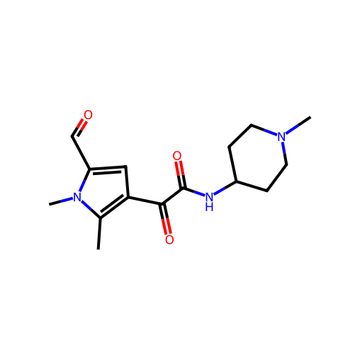 Cc1c(C(=O)C(=O)NC2CCN(C)CC2)cc(C=O)n1C